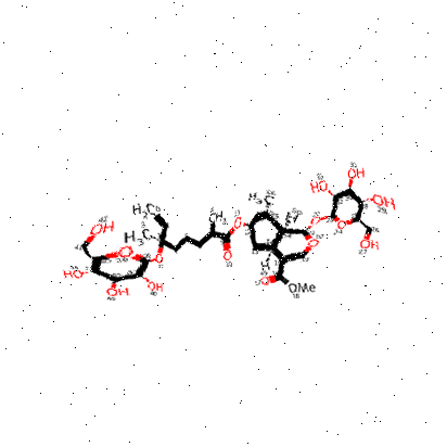 C=C[C@@](C)(CC/C=C(\C)C(=O)O[C@H]1C[C@@H]2C(C(=O)OC)=CO[C@@H](O[C@@H]3O[C@H](CO)[C@@H](O)[C@H](O)[C@H]3O)[C@@H]2[C@H]1C)O[C@@H]1O[C@H](CO)[C@@H](O)[C@H](O)[C@H]1O